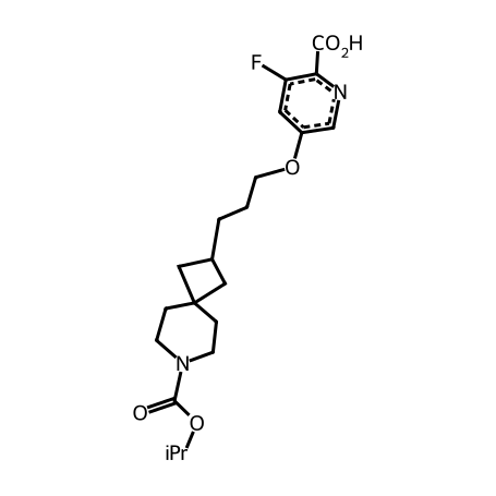 CC(C)OC(=O)N1CCC2(CC1)CC(CCCOc1cnc(C(=O)O)c(F)c1)C2